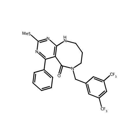 CSc1nc2c(c(-c3ccccc3)n1)C(=O)N(Cc1cc(C(F)(F)F)cc(C(F)(F)F)c1)CCCN2